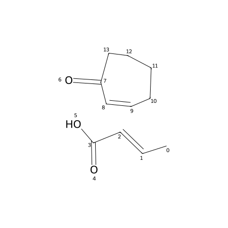 CC=CC(=O)O.O=C1C=CCCCC1